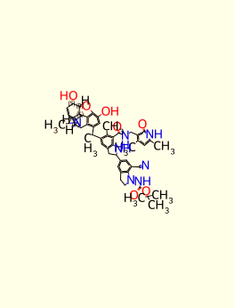 Cc1cc(C)c(CNC(=O)c2c(C)c(C(C)c3cc(O)c4c5c3C[C@@H]3[C@@H]6C=C[C@H](O)[C@H](O4)[C@]56CCN3C)cc3c2NC(c2cc(C#N)c4c(c2)CCN4NC(=O)OC(C)(C)C)C3)c(=O)[nH]1